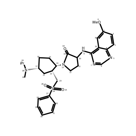 COc1ccc2ncnc(NC3CCN([C@H]4CC[C@@H](N(C)C(C)C)C[C@H]4CS(=O)(=O)c4ccccc4)C3=O)c2c1